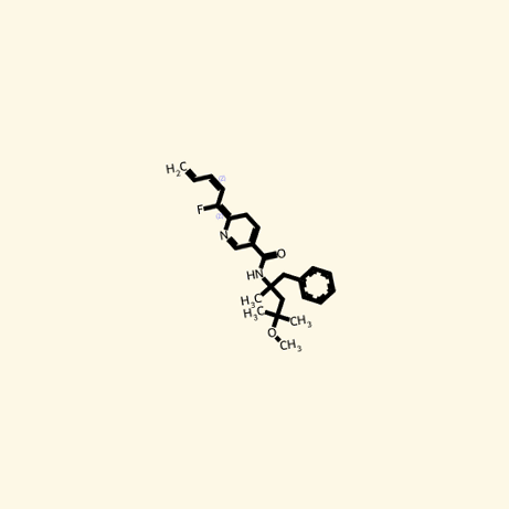 C=C/C=C\C(F)=C1/CC=C(C(=O)NC(C)(Cc2ccccc2)CC(C)(C)OC)C=N1